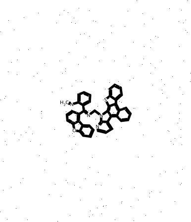 C=Nc1ccccc1/C(=N\Cn1c2ncccc2c2c3ccccc3c3c4ccccc4sc3c21)c1cccc2oc3ccccc3c12